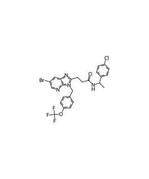 CC(NC(=O)CCc1nc2cc(Br)cnc2n1Cc1ccc(OC(F)(F)F)cc1)c1ccc(Cl)cc1